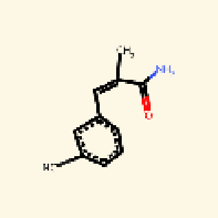 CC(=Cc1cccc(C#N)c1)C(N)=O